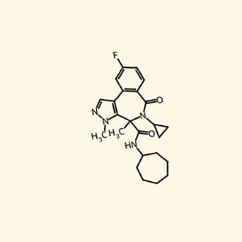 Cn1ncc2c1C(C)(C(=O)NC1CCCCCC1)N(C1CC1)C(=O)c1ccc(F)cc1-2